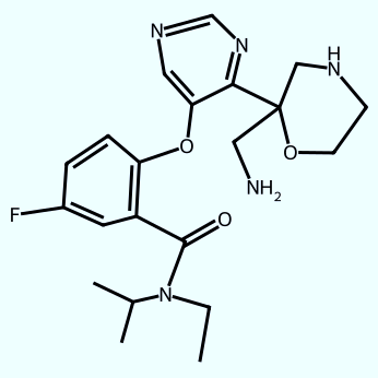 CCN(C(=O)c1cc(F)ccc1Oc1cncnc1C1(CN)CNCCO1)C(C)C